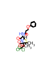 CC1(C)S[C@@H]2C(NC(=O)CCOc3ccccc3)C(=O)N2C1(CC(Cl)(Cl)Cl)C(=O)O